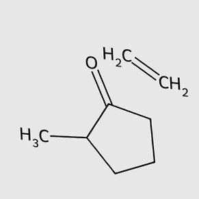 C=C.CC1CCCC1=O